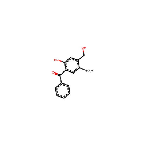 O=C(c1ccccc1)c1cc(S(=O)(=O)O)c(CO)cc1O